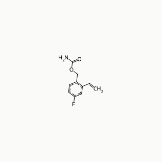 C=Cc1cc(F)ccc1COC(N)=O